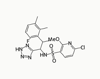 COc1nc(Cl)ccc1S(=O)(=O)NC(c1nn[nH]n1)C(C)c1c(F)ccc(C)c1C